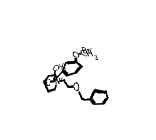 COc1cccc(C2(C)CC3CC[N+]2(CCOCc2ccccc2)CC3)c1.[Br-]